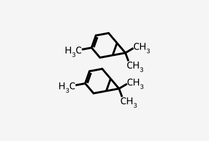 CC1=CCC2C(C1)C2(C)C.CC1=CCC2C(C1)C2(C)C